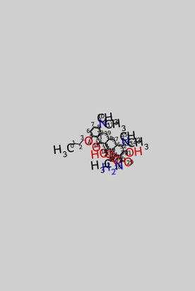 CCCCOc1ccc(N(C)C)c2c1C(=O)C1=C(O)C3(OC(C)=O)C(=O)C(C(N)=O)=C(O)C(N(C)C)C3CC1C2